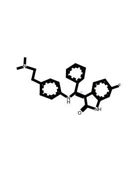 CN(C)CCc1ccc(N/C(=C2\C(=O)Nc3cc(F)ccc32)c2ccccc2)cc1